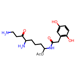 CC(=O)OC(CCCC(N)C(=O)CCN)NC(=O)Cc1cc(O)ccc1O